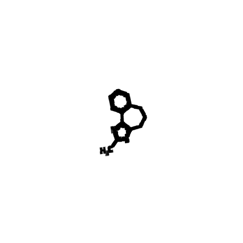 Cc1nc2c(s1)CCCc1ccccc1-2